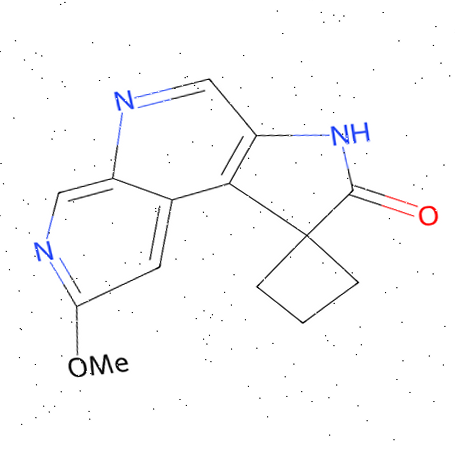 COc1cc2c3c(cnc2cn1)NC(=O)C31CCC1